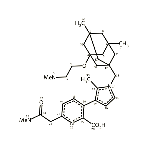 CNCCOC12CC3(C)CC(C)(CC(Cn4ccc(-c5ccc(CC(=O)NC)nc5C(=O)O)c4C)(C3)C1)C2